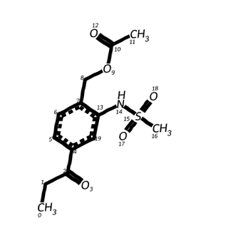 CCC(=O)c1ccc(COC(C)=O)c(NS(C)(=O)=O)c1